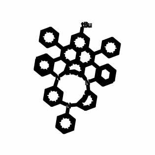 CC(C)(C)c1cc2c(-c3ccccc3)c(C3=C=C=CC=C3)c3c4cc(c5c(-c6ccccc6)c(-c6ccccc6)c(c1)c2c35)N(c1ccccc1)c1cccc(c1)N(c1ccccc1)c1cccc(c1)N4C1=CC=CCC1